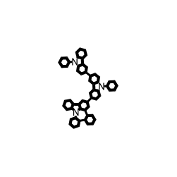 c1ccc(-n2c3ccccc3c3cc(-c4ccc5c(c4)c4cc(-c6cc7c8c(c6)c6ccccc6n8-c6ccccc6-c6ccccc6-7)ccc4n5-c4ccccc4)ccc32)cc1